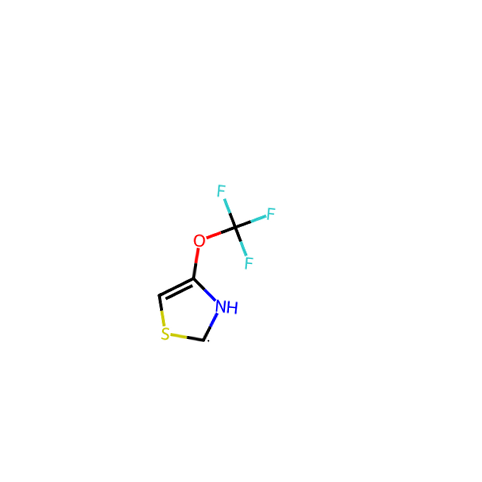 FC(F)(F)OC1=CS[CH]N1